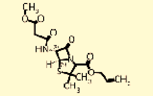 C=CCOC(=O)C1N2C(=O)[C@@H](NC(=O)CC(=O)OC)[C@@H]2SC1(C)C